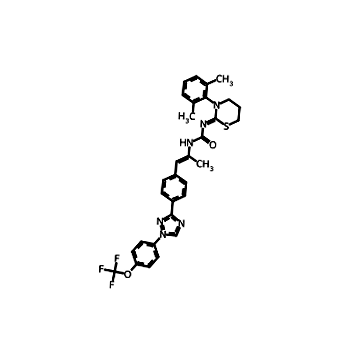 C/C(=C\c1ccc(-c2ncn(-c3ccc(OC(F)(F)F)cc3)n2)cc1)NC(=O)/N=C1\SCCCN1c1c(C)cccc1C